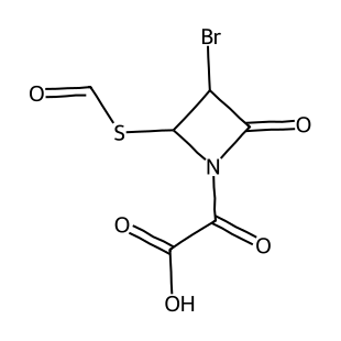 O=CSC1C(Br)C(=O)N1C(=O)C(=O)O